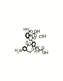 Cl.Nc1ccc2c(c1)CCCOc1c(C(=O)NCC(=O)O)ccc(C(Cc3cccc(C(=O)O)c3)C(=O)NCC(=O)O)c1OC2=O